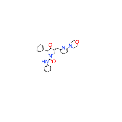 O=C1C(=Cc2cccc(N3CCOCC3)n2)CN(C(=O)Nc2ccccc2)CC1c1ccccc1